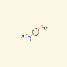 CCOc1ccc(NC=O)cc1